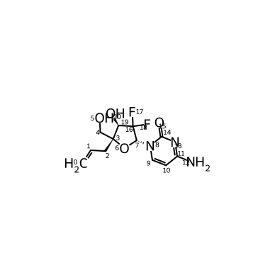 C=CC[C@]1(CO)O[C@@H](n2ccc(N)nc2=O)C(F)(F)[C@@H]1O